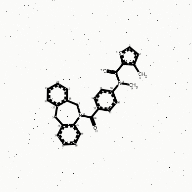 Cc1ccsc1C(=O)N(C)c1ccc(C(=O)N2Cc3ccccc3Cc3ccccc32)cc1